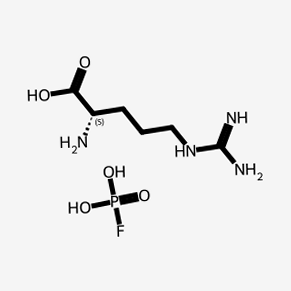 N=C(N)NCCC[C@H](N)C(=O)O.O=P(O)(O)F